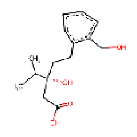 CC(C)[C@@](O)(CCc1ccccc1CO)CC(=O)O